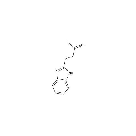 O=C(I)CCc1nc2ccccc2[nH]1